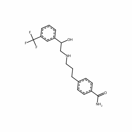 NC(=O)c1ccc(CCCNCC(O)c2cccc(C(F)(F)F)c2)cc1